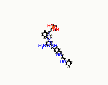 Nc1cc(N2CCN(CCCP(=O)(O)O)C3(CCCCC3)C2)nc(NCC2CCC(CNCCCNC3CCCCC3)CC2)n1